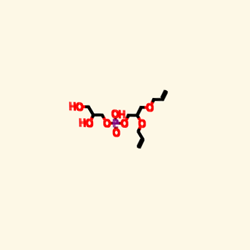 C=CCOCC(COP(=O)(O)OCC(O)CO)OCC=C